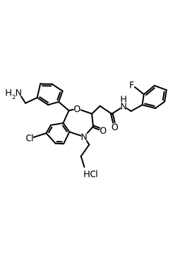 CCCN1C(=O)C(CC(=O)NCc2ccccc2F)OC(c2cccc(CN)c2)c2cc(Cl)ccc21.Cl